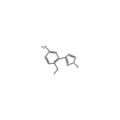 CCc1ccc(N)cc1-c1ccn(C)n1